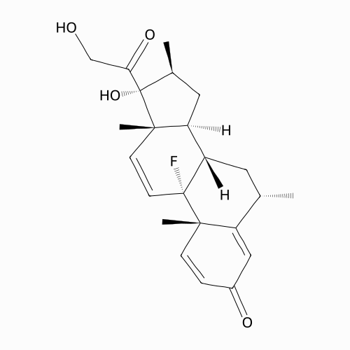 C[C@H]1C[C@H]2[C@@H]3C[C@H](C)[C@](O)(C(=O)CO)[C@@]3(C)C=C[C@]2(F)[C@@]2(C)C=CC(=O)C=C12